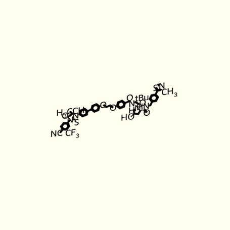 Cc1ncsc1-c1ccc(CNC(=O)[C@@H]2C[C@@H](O)CN2C(=O)[C@@H](NC(=O)c2ccc(OCCOc3ccc(-c4ccc(N5C(=S)N(c6ccc(C#N)c(C(F)(F)F)c6)C(=O)C5(C)C)cc4)cc3)cc2)C(C)(C)C)cc1